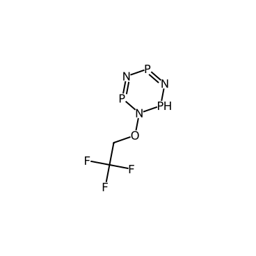 FC(F)(F)CON1P=NP=NP1